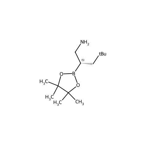 CC(C)(C)C[C@@H](CN)B1OC(C)(C)C(C)(C)O1